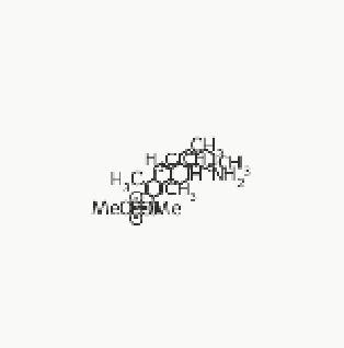 COP(=O)(OC)OC1=C(C)C2=CC=C3[C@@](C)(CC[C@@]4(C)[C@@H]5C[C@](C)(N)CC[C@]5(C)CC[C@]34C)C2=CC1=O